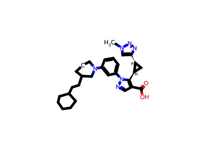 Cn1cc([C@@H]2C[C@H]2c2c(C(=O)O)cnn2-c2cccc(N3CCCC(CCC4CCCCC4)C3)c2)nn1